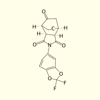 O=C1C[C@@H]2CC[C@H]1[C@@H]1C(=O)N(c3ccc4c(c3)OC(F)(F)O4)C(=O)[C@H]21